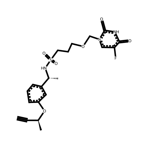 C#C[C@H](C)Oc1cccc([C@@H](C)NS(=O)(=O)CCCOCn2cc(F)c(=O)[nH]c2=O)c1